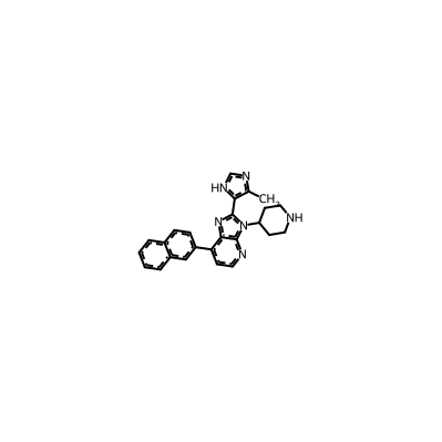 Cc1nc[nH]c1-c1nc2c(-c3ccc4ccccc4c3)ccnc2n1C1CCNCC1